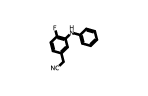 N#CCc1ccc(F)c(Nc2ccccc2)c1